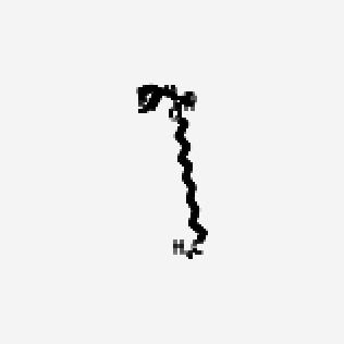 CCCCCCCCCCCCO[PH](=O)Oc1ccsc1